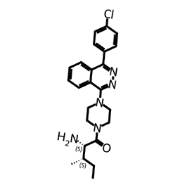 CC[C@H](C)[C@H](N)C(=O)N1CCN(c2nnc(-c3ccc(Cl)cc3)c3ccccc23)CC1